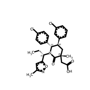 CC[C@@H](c1cc(C)no1)N1C(=O)[C@@](C)(CC(=O)O)C[C@H](c2cccc(Cl)c2)[C@H]1c1ccc(Cl)cc1